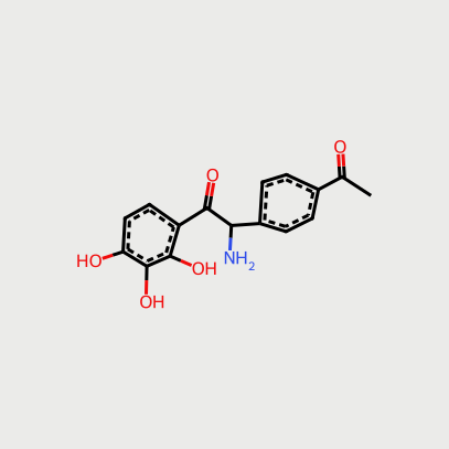 CC(=O)c1ccc(C(N)C(=O)c2ccc(O)c(O)c2O)cc1